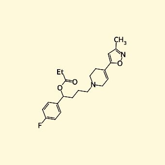 CCC(=O)OC(CCCN1CC=C(c2cc(C)no2)CC1)c1ccc(F)cc1